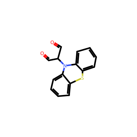 O=CC(C=O)N1c2ccccc2Sc2ccccc21